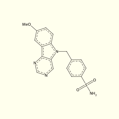 COc1ccc2c(c1)c1ncncc1n2Cc1ccc(S(N)(=O)=O)cc1